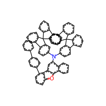 c1ccc(-c2ccc(-c3cccc4oc5c6ccccc6c(N(c6ccc7c(c6)C6(c8ccccc8-c8ccccc86)c6ccccc6-7)c6ccc7c(c6)C6(c8ccccc8-c8ccccc86)c6ccccc6-7)cc5c34)cc2)cc1